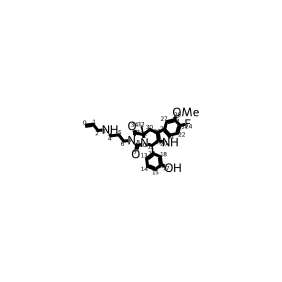 C=CCNCCCN1C(=O)N2[C@H](c3cccc(O)c3)c3[nH]c4cc(F)c(OC)cc4c3C[C@@]2(C)C1=O